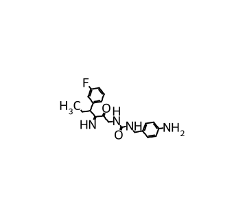 CCC(C(=N)C(=O)CNC(=O)NCc1ccc(N)cc1)c1cccc(F)c1